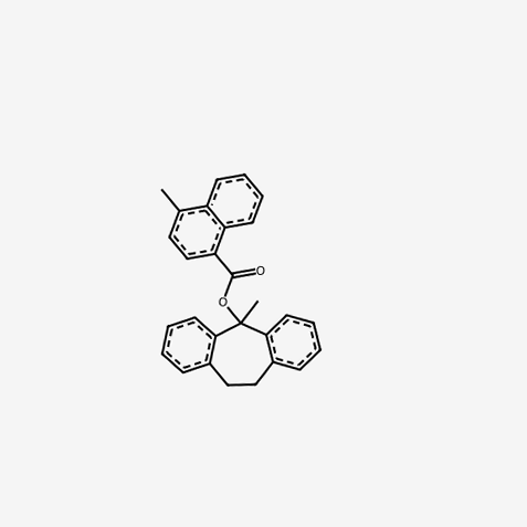 Cc1ccc(C(=O)OC2(C)c3ccccc3CCc3ccccc32)c2ccccc12